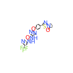 O=C(Nc1cnc(Oc2ccc(-c3cnc(N4CCCC4=O)s3)cc2)nc1)Nc1cncc(C(F)(F)F)c1